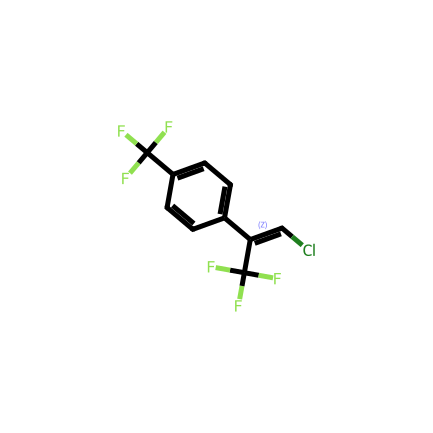 FC(F)(F)/C(=C\Cl)c1ccc(C(F)(F)F)cc1